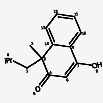 CC(C)CC1(C)C(=O)C=C(O)c2ccccc21